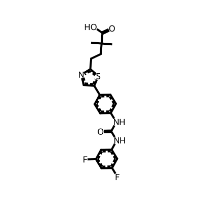 CC(C)(CCc1ncc(-c2ccc(NC(=O)Nc3cc(F)cc(F)c3)cc2)s1)C(=O)O